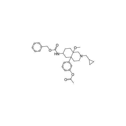 COC12CCC(NC(=O)OCc3ccccc3)CC1(c1cccc(OC(C)=O)c1)CCN(CC1CC1)C2